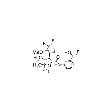 COc1c([C@H]2[C@H](C(=O)Nc3ccnc([C@@H](O)CF)c3)O[C@@](C)(C(F)(F)F)[C@H]2C)ccc(F)c1F